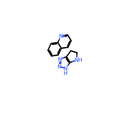 C1Cc2nn[nH]c2N1.c1ccc2ncccc2c1